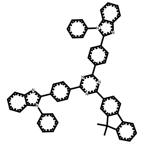 CC1(C)c2ccccc2-c2ccc(-c3nc(-c4ccc(-c5nc6ccccc6n5-c5ccccc5)cc4)nc(-c4ccc(-c5nc6ccccc6n5-c5ccccc5)cc4)n3)cc21